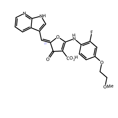 COCCOc1ccc(NC2=C(C(=O)O)C(=O)/C(=C/c3c[nH]c4ncccc34)O2)c(F)c1